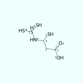 O=C(O)CC(S)N[SH](S)S